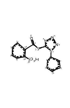 O=C(Sc1nnnn1-c1ccccc1)c1ccccc1S(=O)(=O)O